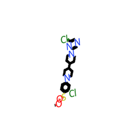 COOSc1ccc(N2CCC(C3CCN(c4cncc(Cl)n4)CC3)CC2)cc1Cl